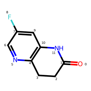 O=C1CCc2ncc(F)cc2N1